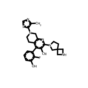 Cc1ncsc1N1CCc2c(nc(N3CCC4(CNC4)C3)c(C#N)c2-c2cccc(O)c2F)C1